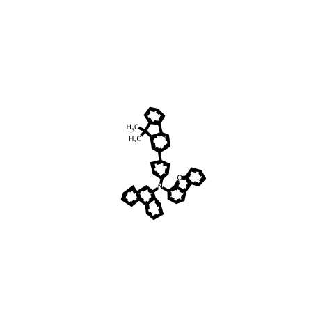 CC1(C)c2ccccc2-c2ccc(-c3ccc(N(c4cc5ccccc5c5ccccc45)c4cccc5c4oc4ccccc45)cc3)cc21